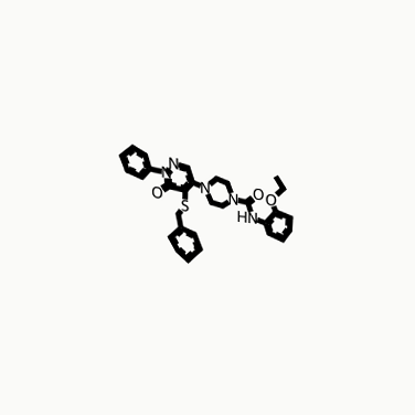 CCOc1ccccc1NC(=O)N1CCN(c2cnn(-c3ccccc3)c(=O)c2SCc2ccccc2)CC1